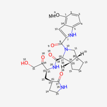 COc1cccc2[nH]c(C(=O)N3C[C@@H]4CCC[C@@H]4[C@H]3C(=O)N[C@@H](C[C@@H]3CCNC3=O)C(=O)CO)cc12